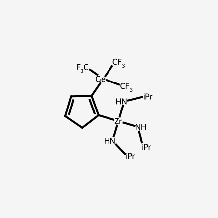 CC(C)[NH][Zr]([NH]C(C)C)([NH]C(C)C)[C]1=[C]([Ge]([C](F)(F)F)([C](F)(F)F)[C](F)(F)F)C=CC1